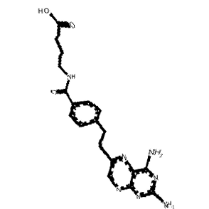 Nc1nc(N)c2nc(CCc3ccc(C(=O)NCCCC(=O)O)cc3)cnc2n1